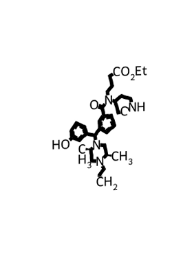 C=CCN1C[C@@H](C)N(C(c2cccc(O)c2)c2cccc(C(=O)N(CCCC(=O)OCC)C3CCNCC3)c2)C[C@H]1C